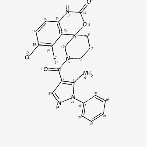 Nc1c(C(=O)N2CCC[C@@]3(C2)OC(=O)Nc2ccc(Cl)c(F)c23)cnn1-c1ccccc1